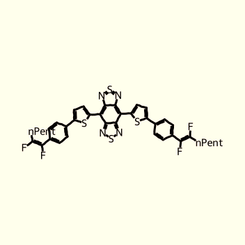 CCCCC/C(F)=C(/F)c1ccc(-c2ccc(-c3c4c(c(-c5ccc(-c6ccc(/C(F)=C(\F)CCCCC)cc6)s5)c5nsnc35)N=S=N4)s2)cc1